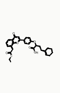 CCOC(=O)Cc1cccc2c(=O)cc(-c3ccc(OC(CCC4=CCCCC4)C(=O)O)cc3)oc12